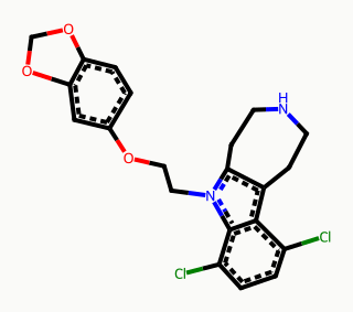 Clc1ccc(Cl)c2c1c1c(n2CCOc2ccc3c(c2)OCO3)CCNCC1